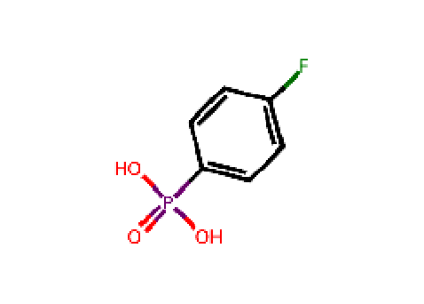 O=P(O)(O)c1ccc(F)cc1